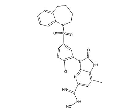 Cc1cc(C(=N)NO)nc2c1[nH]c(=O)n2-c1cc(S(=O)(=O)N2CCCCc3ccccc32)ccc1Cl